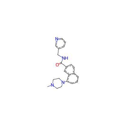 CN1CCN(c2cccc3ccc(C(=O)NCc4cccnc4)cc23)CC1